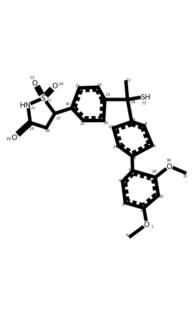 COc1ccc(-c2ccc(C(C)(S)c3ccc(C4CC(=O)NS4(=O)=O)cc3)cc2)c(OC)c1